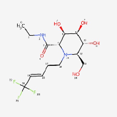 CCNC(=O)[C@@H]1[C@@H](O)[C@@H](O)[C@H](O)[C@@H](CO)N1CCC=CC(F)(F)F